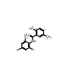 C=C(Nc1c(F)cc(F)cc1F)c1cc(C)ccc1O